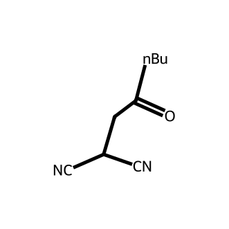 CCCCC(=O)CC(C#N)C#N